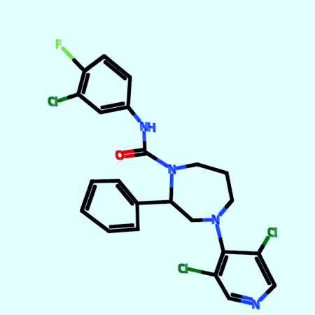 O=C(Nc1ccc(F)c(Cl)c1)N1CCCN(c2c(Cl)cncc2Cl)CC1c1ccccc1